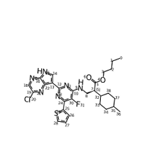 CCCCOC(=O)[C@H](CNc1nc(-c2c[nH]c3ncc(Cl)nc23)nc(-c2cccs2)c1F)C1CCC(C)CC1